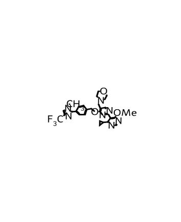 COc1ncnc(C2CC2)c1-c1ncc(CN2CCOCC2)c(OCc2ccc(-c3nc(C(F)(F)F)cn3C)cc2)n1